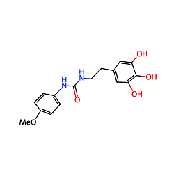 COc1ccc(NC(=O)NCCc2cc(O)c(O)c(O)c2)cc1